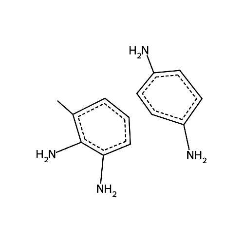 Cc1cccc(N)c1N.Nc1ccc(N)cc1